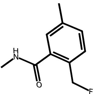 CNC(=O)c1cc(C)ccc1CF